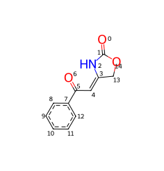 O=C1NC(=CC(=O)c2ccccc2)CO1